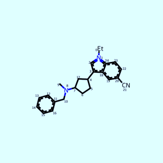 CCn1cc(C2CCC(N(C)Cc3ccccc3)C2)c2cc(C#N)ccc21